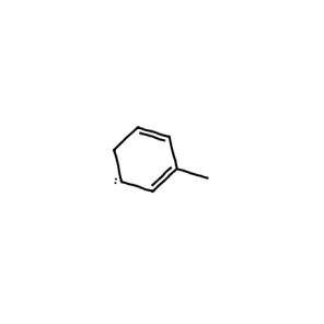 CC1=C[C]CC=C1